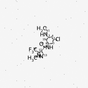 C=CNc1cc(Cl)cc(NC(=O)c2cnn(C)c2C(F)(F)F)c1